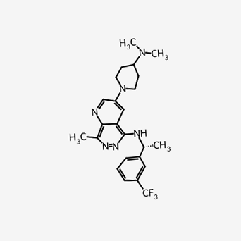 Cc1nnc(N[C@H](C)c2cccc(C(F)(F)F)c2)c2cc(N3CCC(N(C)C)CC3)cnc12